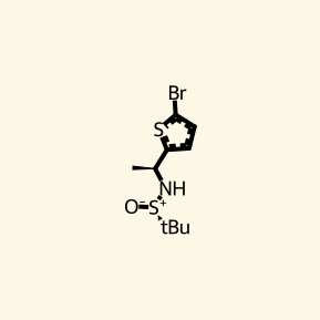 C[C@H](N[S@+]([O-])C(C)(C)C)c1ccc(Br)s1